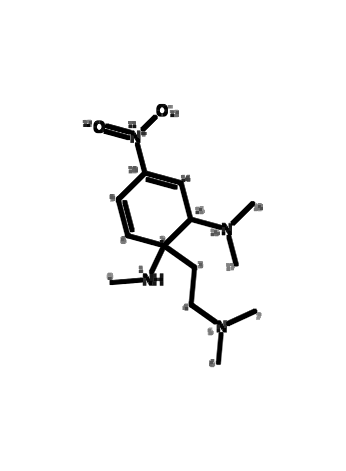 CNC1(CCN(C)C)C=CC([N+](=O)[O-])=CC1N(C)C